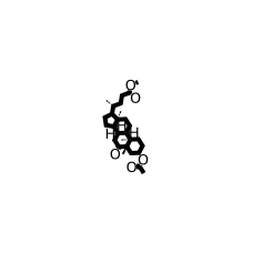 COC(=O)CC[C@@H](C)C1CC[C@H]2[C@@H]3CC(=O)[C@@]4(C)C[C@H](OC(C)=O)CC[C@]4(C)[C@H]3CC[C@]12C